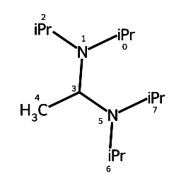 CC(C)N(C(C)C)C(C)N(C(C)C)C(C)C